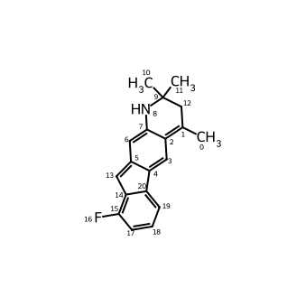 CC1=c2cc3c(cc2NC(C)(C)C1)=Cc1c(F)cccc1-3